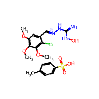 COc1cc(/C=N/NC(=N)NO)c(Cl)c(OC)c1OC.Cc1ccc(S(=O)(=O)O)cc1